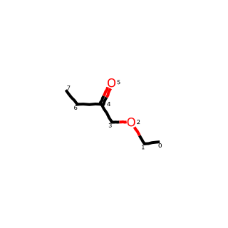 CCOCC(=O)CC